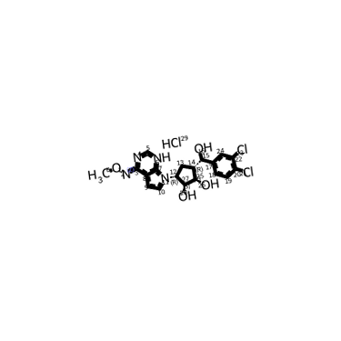 CO/N=c1\nc[nH]c2c1ccn2[C@@H]1C[C@H](C(O)c2ccc(Cl)c(Cl)c2)[C@@H](O)[C@H]1O.Cl